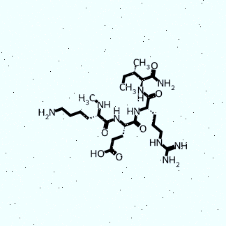 CC[C@H](C)[C@H](NC(=O)[C@H](CCCNC(=N)N)NC(=O)[C@H](CCC(=O)O)NC(=O)[C@H](CCCCN)NC)C(N)=O